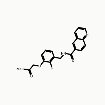 COC(=O)COc1cccc(CNC(=O)c2ccc3ncccc3c2)c1F